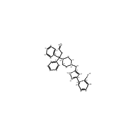 O=CCC(c1ccccc1)(c1ccccc1)N1CCN(Cc2cc(-c3ccccc3F)no2)CC1